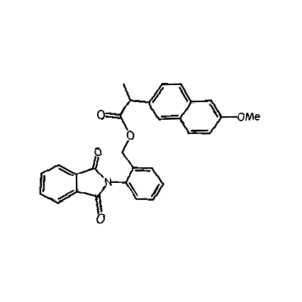 COc1ccc2cc(C(C)C(=O)OCc3ccccc3N3C(=O)c4ccccc4C3=O)ccc2c1